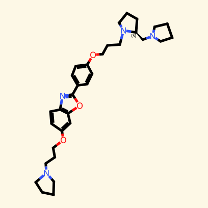 c1cc2nc(-c3ccc(OCCCN4CCC[C@H]4CN4CCCC4)cc3)oc2cc1OCCCN1CCCC1